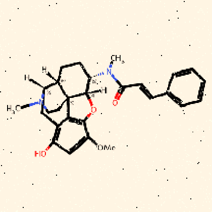 COc1cc(O)c2c3c1O[C@H]1[C@@H](N(C)C(=O)C=Cc4ccccc4)CC[C@H]4[C@@H](C2)N(C)CC[C@@]341